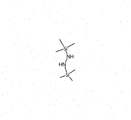 C[Si](C)(C)NN[Si](C)(C)C